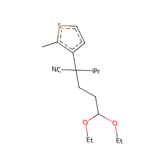 CCOC(CCC(C#N)(c1ccsc1C)C(C)C)OCC